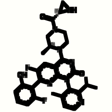 Cc1ccnc(C(C)C)c1-n1c(=O)nc(N2CCN(C(=O)[C@@H]3CN3)C[C@@H]2C)c2cc(F)c(-c3c(O)cccc3F)nc21